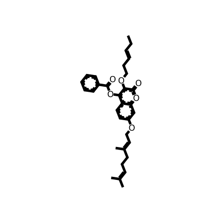 CCC=CCCOc1c(OC(=O)c2ccccc2)c2ccc(OC/C=C(\C)CCC=C(C)C)cc2oc1=O